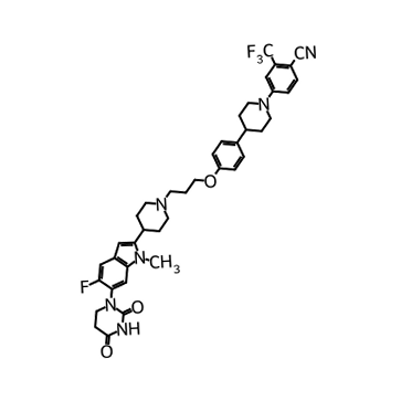 Cn1c(C2CCN(CCCOc3ccc(C4CCN(c5ccc(C#N)c(C(F)(F)F)c5)CC4)cc3)CC2)cc2cc(F)c(N3CCC(=O)NC3=O)cc21